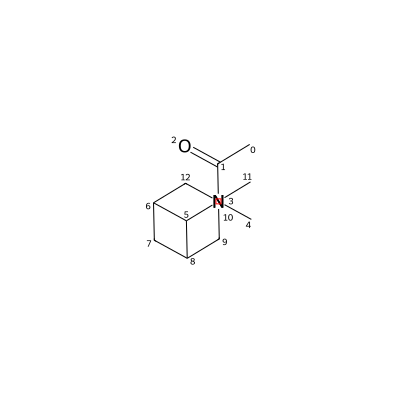 CC(=O)N(C)C1C2CC1CN(C)C2